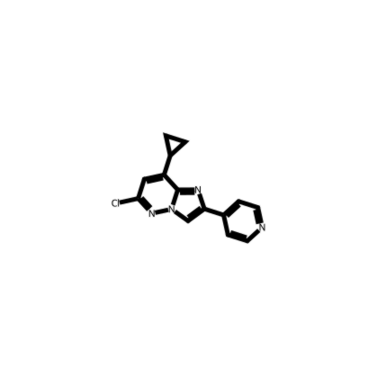 Clc1cc(C2CC2)c2nc(-c3ccncc3)cn2n1